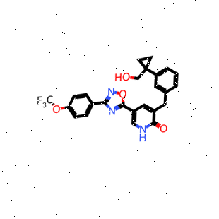 O=c1[nH]cc(-c2nc(-c3ccc(OC(F)(F)F)cc3)no2)cc1Cc1cccc(C2(CO)CC2)c1